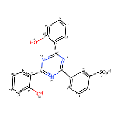 O=S(=O)(O)c1cccc(-c2nc(-c3ccccc3O)nc(-c3ccccc3O)n2)c1